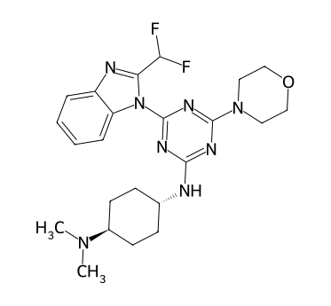 CN(C)[C@H]1CC[C@H](Nc2nc(N3CCOCC3)nc(-n3c(C(F)F)nc4ccccc43)n2)CC1